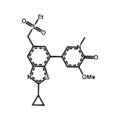 CCS(=O)(=O)Cc1cc(-c2cc(OC)c(=O)n(C)c2)c2sc(C3CC3)nc2c1